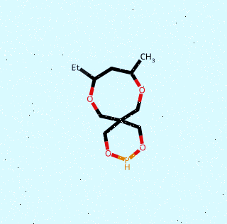 CCC1CC(C)OCC2(COPOC2)CO1